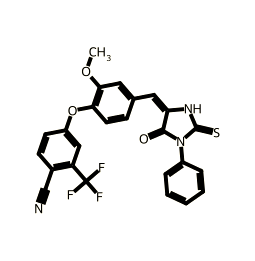 COc1cc(C=C2NC(=S)N(c3ccccc3)C2=O)ccc1Oc1ccc(C#N)c(C(F)(F)F)c1